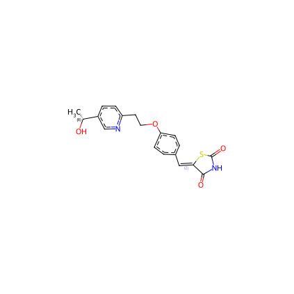 C[C@@H](O)c1ccc(CCOc2ccc(/C=C3\SC(=O)NC3=O)cc2)nc1